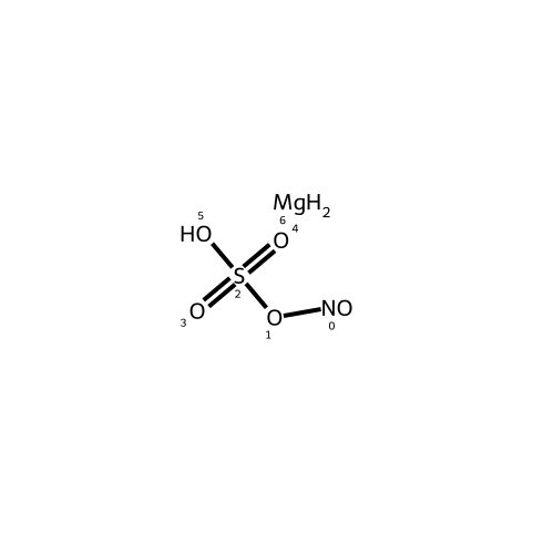 O=NOS(=O)(=O)O.[MgH2]